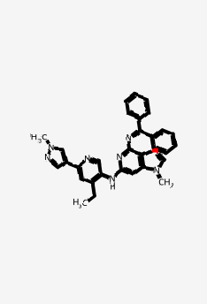 CCc1cc(-c2cnn(C)c2)ncc1Nc1cc2c(ncn2C)c(N=C(c2ccccc2)c2ccccc2)n1